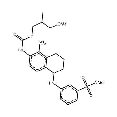 CNS(=O)(=O)c1cccc(NC2CCCc3c2ccc(NC(=O)OCC(C)COC)c3N)c1